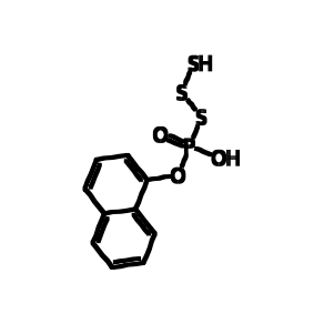 O=P(O)(Oc1cccc2ccccc12)SSS